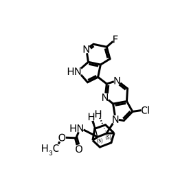 COC(=O)N[C@H]1C2CCC(CC2)[C@@H]1n1cc(Cl)c2cnc(-c3c[nH]c4ncc(F)cc34)nc21